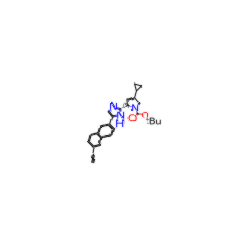 C#Cc1ccc2cc(-c3cnc([C@@H]4C=C(C5CC5)CN4C(=O)OC(C)(C)C)[nH]3)ccc2c1